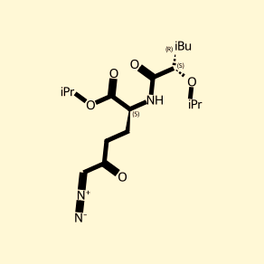 CC[C@@H](C)[C@H](OC(C)C)C(=O)N[C@@H](CCC(=O)C=[N+]=[N-])C(=O)OC(C)C